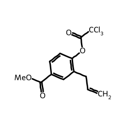 C=CCc1cc(C(=O)OC)ccc1OC(=O)C(Cl)(Cl)Cl